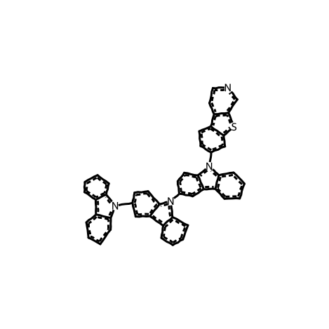 c1ccc2c(c1)c1ccccc1n2-c1ccc2c(c1)c1ccccc1n2-c1ccc2c(c1)c1ccccc1n2-c1ccc2c(c1)sc1cnccc12